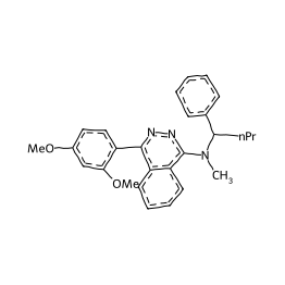 CCCC(c1ccccc1)N(C)c1nnc(-c2ccc(OC)cc2OC)c2ccccc12